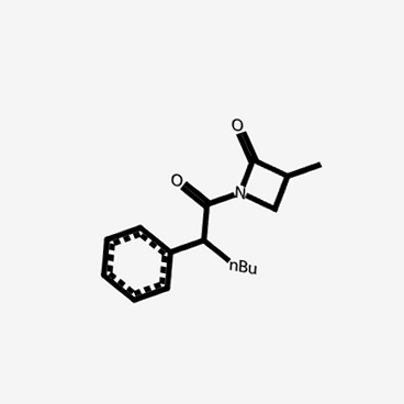 CCCCC(C(=O)N1CC(C)C1=O)c1ccccc1